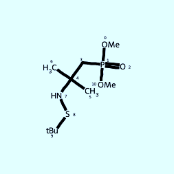 COP(=O)(CC(C)(C)NSC(C)(C)C)OC